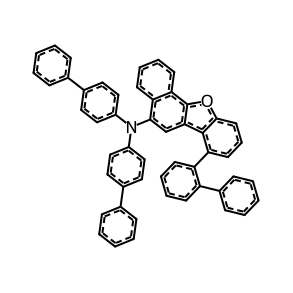 c1ccc(-c2ccc(N(c3ccc(-c4ccccc4)cc3)c3cc4c(oc5cccc(-c6ccccc6-c6ccccc6)c54)c4ccccc34)cc2)cc1